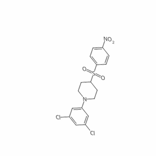 O=[N+]([O-])c1ccc(S(=O)(=O)C2CCN(c3cc(Cl)cc(Cl)c3)CC2)cc1